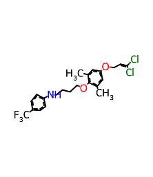 Cc1cc(OCC=C(Cl)Cl)cc(C)c1OCCCCNc1ccc(C(F)(F)F)cc1